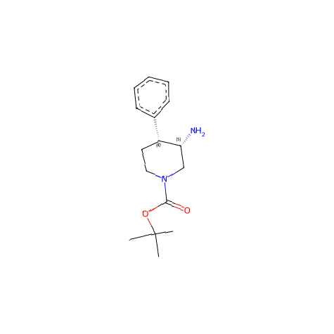 CC(C)(C)OC(=O)N1CC[C@H](c2ccccc2)[C@H](N)C1